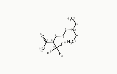 CCN(CC)CCCC(C(=O)O)C(F)(F)F